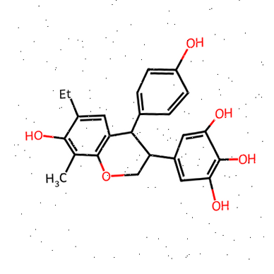 CCc1cc2c(c(C)c1O)OCC(c1cc(O)c(O)c(O)c1)C2c1ccc(O)cc1